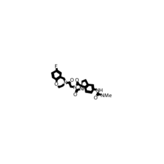 CNC(=O)Nc1ccc2c(c1)CC[C@]21NC(=O)N(CC(=O)N2CCOc3ccc(F)cc3C2)C1=O